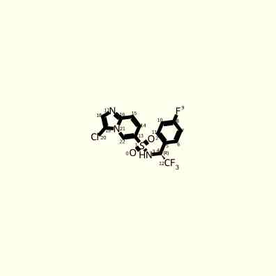 O=S(=O)(N[C@H](c1ccc(F)cc1)C(F)(F)F)c1ccc2ncc(Cl)n2c1